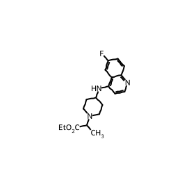 CCOC(=O)C(C)N1CCC(Nc2ccnc3ccc(F)cc23)CC1